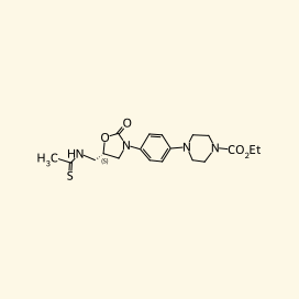 CCOC(=O)N1CCN(c2ccc(N3C[C@H](CNC(C)=S)OC3=O)cc2)CC1